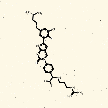 C[C@H](N)CCCc1cc(Cl)c(F)c(-c2cc3cn(-c4ccc([C@@H](NCCCNC(=N)N)C(F)F)cc4)c(=O)nc3[nH]2)c1